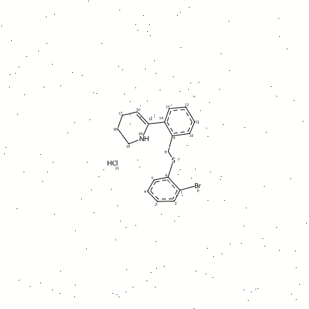 Brc1ccccc1SCc1ccccc1C1=CCCCN1.Cl